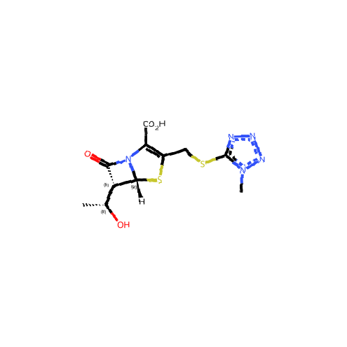 C[C@@H](O)[C@@H]1C(=O)N2C(C(=O)O)=C(CSc3nnnn3C)S[C@H]12